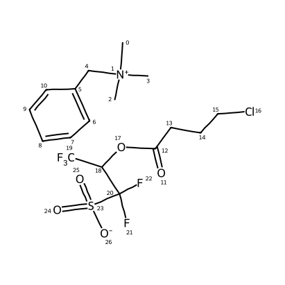 C[N+](C)(C)Cc1ccccc1.O=C(CCCCl)OC(C(F)(F)F)C(F)(F)S(=O)(=O)[O-]